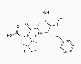 CCOC(=O)[C@H](CCc1ccccc1)N[C@@H](C)C(=O)N1[C@H](C(=O)O)C[C@@H]2CCC[C@@H]21.[NaH]